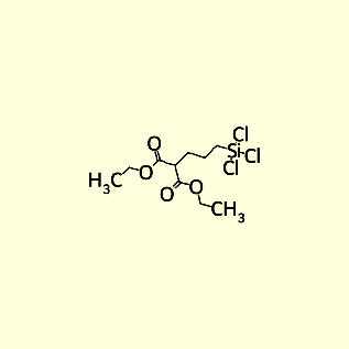 CCOC(=O)C(CCC[Si](Cl)(Cl)Cl)C(=O)OCC